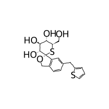 OC[C@H]1S[C@]2(OCc3ccc(Cc4cccs4)cc32)[C@H](O)[C@@H](O)[C@@H]1O